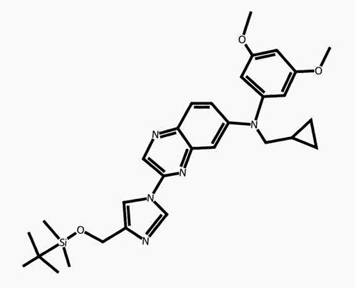 COc1cc(OC)cc(N(CC2CC2)c2ccc3ncc(-n4cnc(CO[Si](C)(C)C(C)(C)C)c4)nc3c2)c1